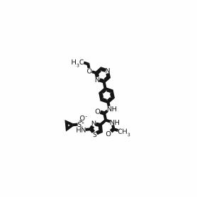 CCOc1cncc(-c2ccc(NC(=O)C(NC(C)=O)c3csc(N[S+]([O-])C4CC4)n3)cc2)n1